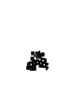 CC[C@@]1(O)C(=O)OCc2c1cc1n(c2=O)Cc2c-1nc1cc(F)c(C)c3c1c2[C@H](NC(=O)C(C)N)CS3